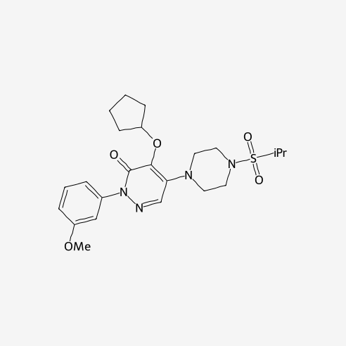 COc1cccc(-n2ncc(N3CCN(S(=O)(=O)C(C)C)CC3)c(OC3CCCC3)c2=O)c1